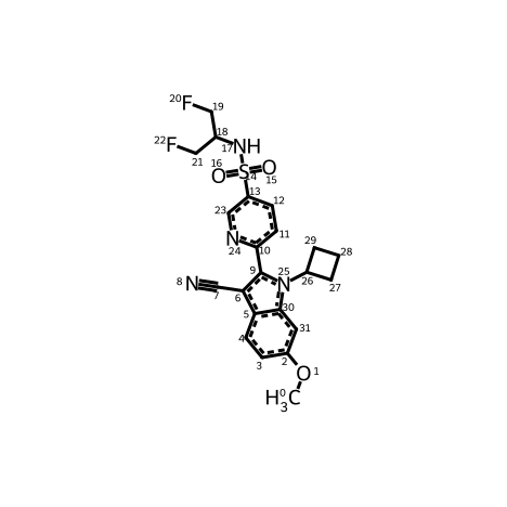 COc1ccc2c(C#N)c(-c3ccc(S(=O)(=O)NC(CF)CF)cn3)n(C3CCC3)c2c1